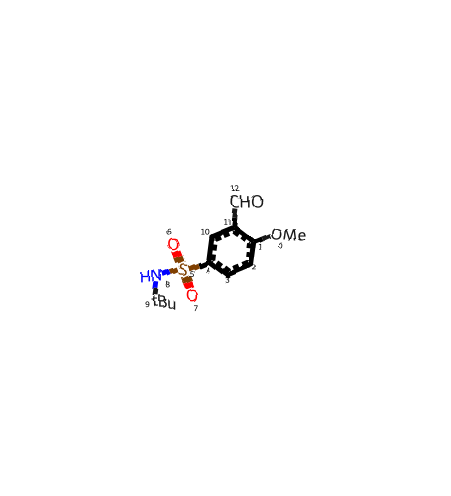 COc1ccc(S(=O)(=O)NC(C)(C)C)cc1C=O